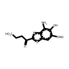 COc1cc2sc(C(=O)CCC(=O)O)nc2c(N)c1O